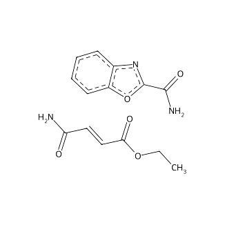 CCOC(=O)/C=C/C(N)=O.NC(=O)c1nc2ccccc2o1